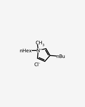 CCCCCC[N+]1(C)C=CC(CCCC)=C1.[Cl-]